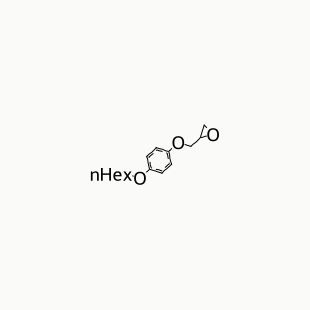 CCCCCCOc1ccc(OCC2CO2)cc1